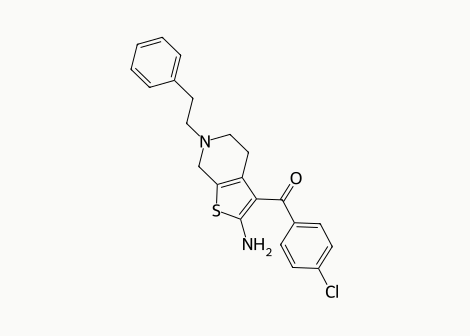 Nc1sc2c(c1C(=O)c1ccc(Cl)cc1)CCN(CCc1ccccc1)C2